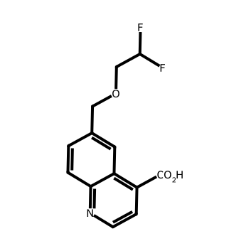 O=C(O)c1ccnc2ccc(COCC(F)F)cc12